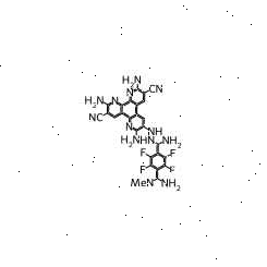 CNC(N)=c1c(F)c(F)c(=C(N)NNc2cc3c4cc(C#N)c(N)nc4c4nc(N)c(C#N)cc4c3nc2N)c(F)c1F